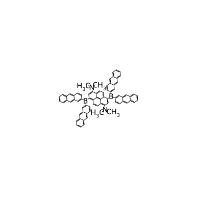 CN(C)c1cc(B(c2ccc3cc4ccccc4cc3c2)c2ccc3cc4ccccc4cc3c2)c2ccc3c(N(C)C)cc(B(c4ccc5cc6ccccc6cc5c4)c4ccc5cc6ccccc6cc5c4)c4ccc1c2c43